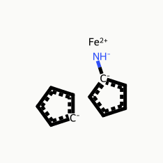 [Fe+2].[NH-][c-]1cccc1.c1cc[cH-]c1